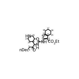 CCCCCCCCCCCC(=O)C(NC(=O)Nc1sc2c(c1C(=O)OCC)CCCC2)C1CCNCC1